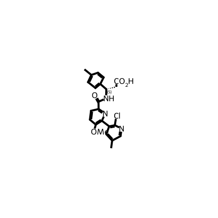 COc1ccc(C(=O)N[C@@H](CC(=O)O)c2ccc(C)cc2)nc1-c1cc(C)cnc1Cl